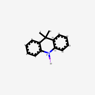 CC1(C)c2ccccc2N(I)c2ccccc21